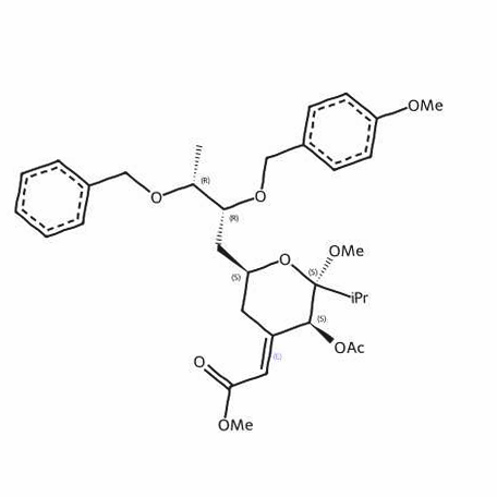 COC(=O)/C=C1\C[C@@H](C[C@@H](OCc2ccc(OC)cc2)[C@@H](C)OCc2ccccc2)O[C@@](OC)(C(C)C)[C@H]1OC(C)=O